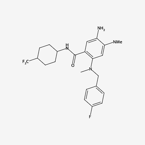 CNc1cc(N(C)Cc2ccc(F)cc2)c(C(=O)NC2CCC(C(F)(F)F)CC2)cc1N